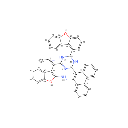 C/C=C(/C1=NC(c2cc3ccccc3c3ccccc23)NC(c2cccc3oc4ccccc4c23)N1)c1c(N)oc2ccccc12